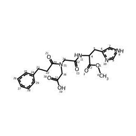 COC(=O)C(Cc1c[nH]cn1)NC(=O)CN(CC(=O)O)C(=O)CCc1ccccc1